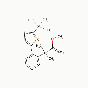 C=C(OC)C(C)(C)c1ccccc1-c1ccc(C(C)(C)C)s1